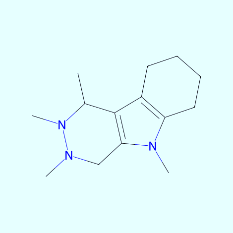 CC1c2c3c(n(C)c2CN(C)N1C)CCCC3